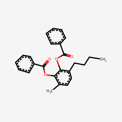 CCCCc1ccc(C)c(OC(=O)c2ccccc2)c1OC(=O)c1ccccc1